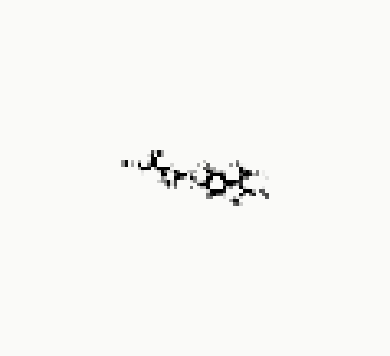 CCC(C)c1nnc(N=Nc2ccc(N(C(C)S)C(C)S)cc2O)s1